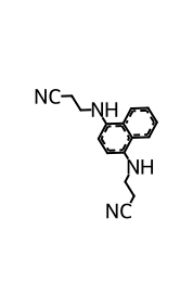 N#CCCNc1ccc(NCCC#N)c2ccccc12